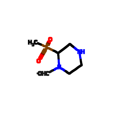 CS(=O)(=O)C1CNCCN1[C]=O